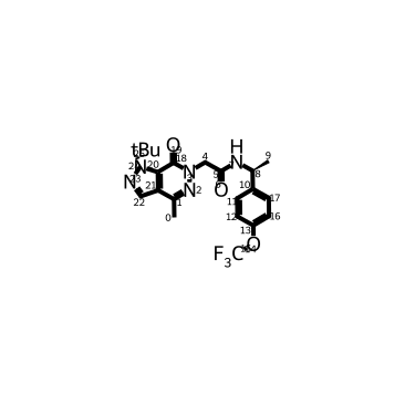 Cc1nn(CC(=O)N[C@@H](C)c2ccc(OC(F)(F)F)cc2)c(=O)c2c1cnn2C(C)(C)C